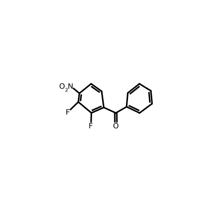 O=C(c1ccccc1)c1ccc([N+](=O)[O-])c(F)c1F